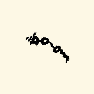 FCCCC=C[C@H]1CC[C@H](CC[C@H]2CC[C@H](c3cc(F)c(C(F)(F)F)c(F)c3)CC2)CC1